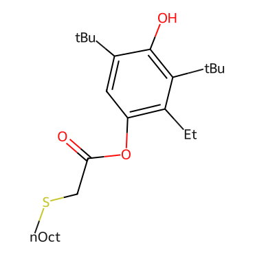 CCCCCCCCSCC(=O)Oc1cc(C(C)(C)C)c(O)c(C(C)(C)C)c1CC